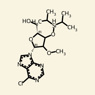 COC1C(O[SiH](C(C)C)C(C)C)[C@@H](CO)O[C@H]1n1cnc2c(Cl)ncnc21